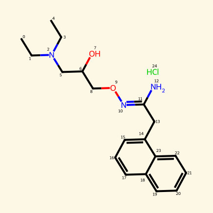 CCN(CC)CC(O)CON=C(N)Cc1cccc2ccccc12.Cl